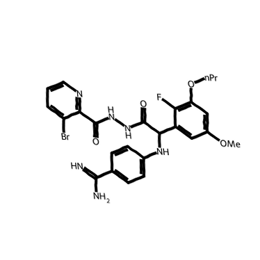 CCCOc1cc(OC)cc(C(Nc2ccc(C(=N)N)cc2)C(=O)NNC(=O)c2ncccc2Br)c1F